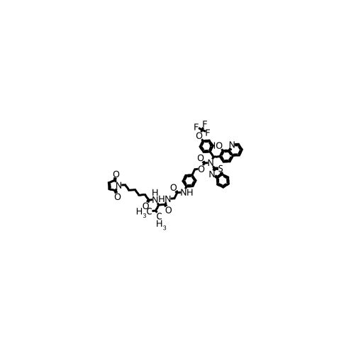 CC(C)C(NC(=O)CCCCCN1C(=O)C=CC1=O)C(=O)NCC(=O)Nc1ccc(COC(=O)N(c2nc3ccccc3s2)C(c2ccc(OC(F)(F)F)cc2)c2ccc3cccnc3c2O)cc1